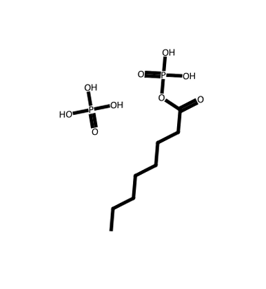 CCCCCCCC(=O)OP(=O)(O)O.O=P(O)(O)O